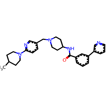 CC1CCN(c2ccc(CN3CCC(NC(=O)c4cccc(-c5cccnc5)c4)CC3)cn2)CC1